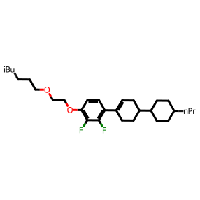 CCCC1CCC(C2CC=C(c3ccc(OCCOCCCC(C)CC)c(F)c3F)CC2)CC1